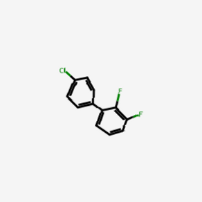 Fc1[c]ccc(-c2ccc(Cl)cc2)c1F